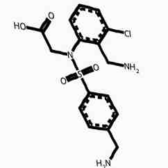 NCc1ccc(S(=O)(=O)N(CC(=O)O)c2cccc(Cl)c2CN)cc1